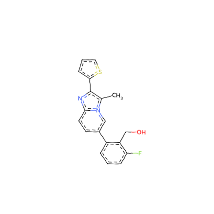 Cc1c(-c2cccs2)nc2ccc(-c3cccc(F)c3CO)cn12